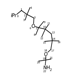 CC(C)CC(C)(C)COC(C)(C)C(C)(C)CC(C)(C)COC(C)(C)N